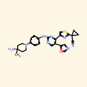 CC1(N)CCN(c2ccc(Nc3ncc(-c4cnco4)c(-c4csc(C5(C#N)CC5)n4)n3)cc2)CC1